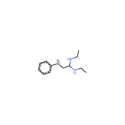 CCNC(C[SiH2]c1ccccc1)NCC